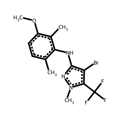 COc1ccc(C)c(Nc2nn(C)c(C(F)(F)F)c2Br)c1C